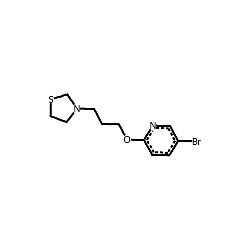 Brc1ccc(OCCCN2CCSC2)nc1